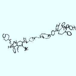 O=CON1C(=O)CCC(Nc2ccc(N3CCN(CCN4CCC(CNc5cc6nc(CSC7CCOCC7)[nH]c(=O)c6c(F)c5F)CC4)CC3)cc2)C1=O